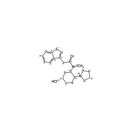 CN(C(=O)Cc1csc2ccccc12)C1CCCCC1N1CCCC1.Cl